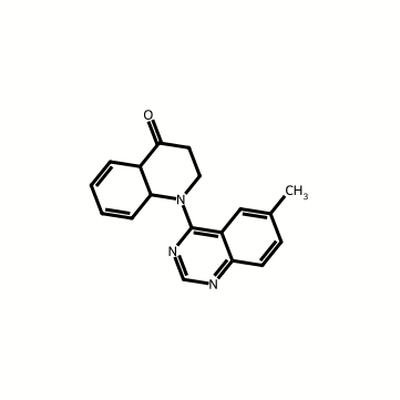 Cc1ccc2ncnc(N3CCC(=O)C4C=CC=CC43)c2c1